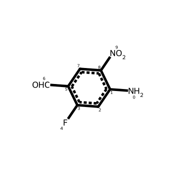 Nc1cc(F)c(C=O)cc1[N+](=O)[O-]